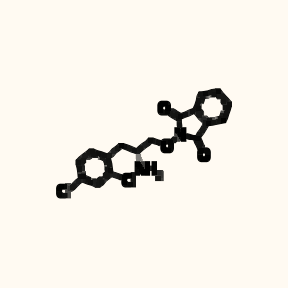 N[C@@H](CON1C(=O)c2ccccc2C1=O)Cc1ccc(Cl)cc1Cl